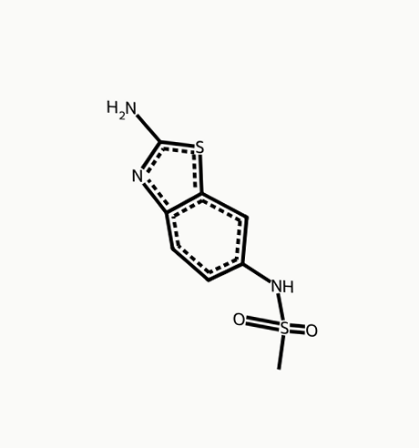 CS(=O)(=O)Nc1ccc2nc(N)sc2c1